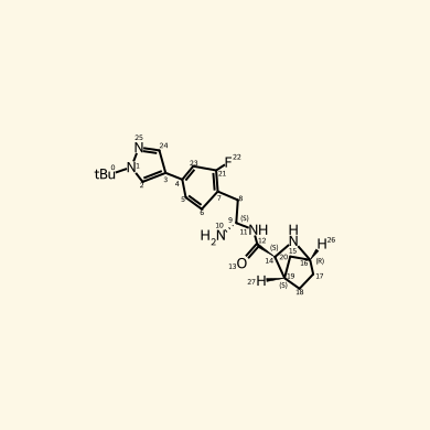 CC(C)(C)n1cc(-c2ccc(C[C@@H](N)NC(=O)[C@H]3N[C@@H]4CC[C@H]3C4)c(F)c2)cn1